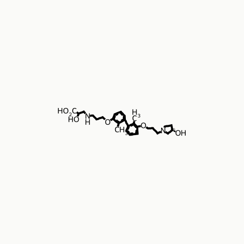 Cc1c(OCCCNCC(O)C(=O)O)cccc1-c1cccc(OCCCN2CC[C@@H](O)C2)c1C